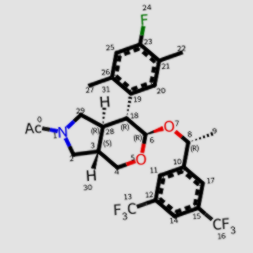 CC(=O)N1C[C@H]2CO[C@H](O[C@H](C)c3cc(C(F)(F)F)cc(C(F)(F)F)c3)[C@@H](c3cc(C)c(F)cc3C)[C@@H]2C1